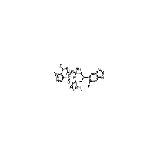 BC1(B)CC(c2cn3ncnc3cc2F)CC(B)(B)N1S(=O)(=O)c1cnn(C)c1C(F)F